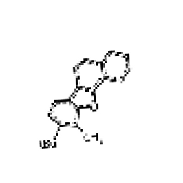 Cc1c(C(C)(C)C)ccc2c1oc1c3ccccc3ccc21